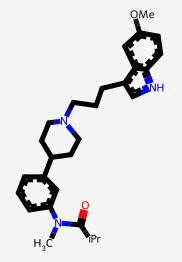 COc1ccc2[nH]cc(CCCN3CCC(c4cccc(N(C)C(=O)C(C)C)c4)CC3)c2c1